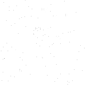 C=C(C)C(=O)Nc1ccc2ncccc2c1